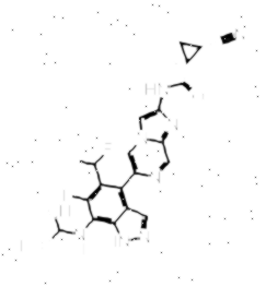 CC(C)Nc1c(F)c(C(F)F)c(-c2cn3cc(NC(=O)[C@@H]4C[C@@H]4C#N)nc3cn2)c2cn[nH]c12